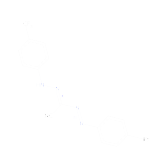 CC(C)c1ccc(/N=N/C(C#N)=N/Nc2ccc(C(F)(F)F)cc2)cc1